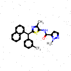 Cc1nc(C(c2cccc(C(F)(F)F)c2)c2cccc3ccccc23)sc1NC(=O)c1ccnn1C